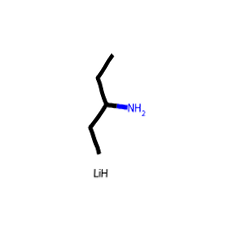 CCC(N)CC.[LiH]